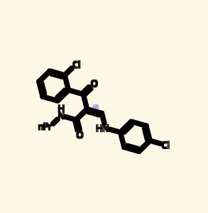 CCCNC(=O)/C(=C\Nc1ccc(Cl)cc1)C(=O)c1ccccc1Cl